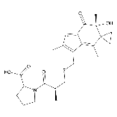 CC1=C(CSC[C@@H](C)C(=O)N2CCCC2C(=O)O)C2=C(C)C3(CC3)[C@@](C)(O)C(=O)C2=C1